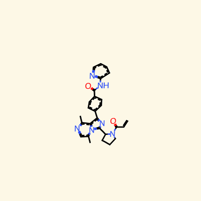 C=CC(=O)N1CCCC1c1nc(-c2ccc(C(=O)Nc3ccccn3)cc2)c2c(C)ncc(C)n12